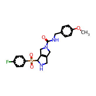 COc1ccc(CNC(=O)N2CC3=C(C2)C(S(=O)(=O)c2ccc(F)cc2)NC3)cc1